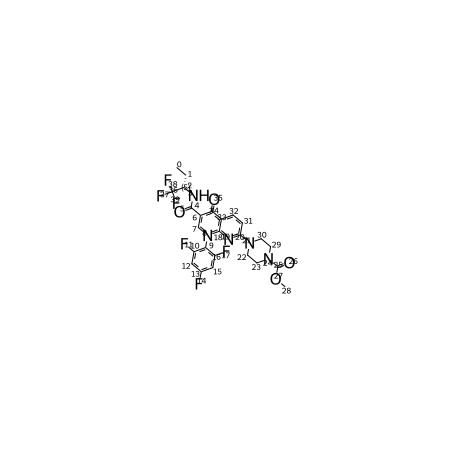 CC[C@H](NC(=O)c1cn(-c2c(F)cc(F)cc2F)c2nc(N3CCN(C(=O)OC)CC3)ccc2c1=O)C(F)(F)F